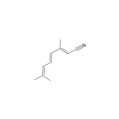 CC(C)=CC=CC(C)=CC#N